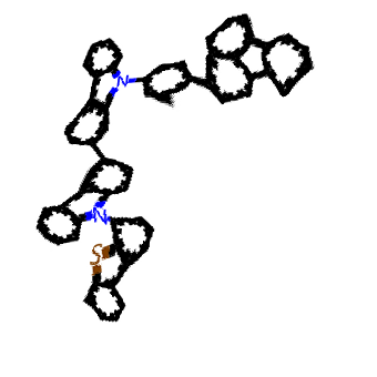 c1ccc2c(c1)-c1cccc3c(-c4ccc(-n5c6ccccc6c6ccc(-c7ccc8c(c7)c7ccccc7n8-c7cccc8c7sc7ccccc78)cc65)cc4)ccc-2c13